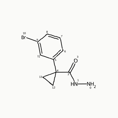 NNC(=O)C1(c2cccc(Br)c2)CC1